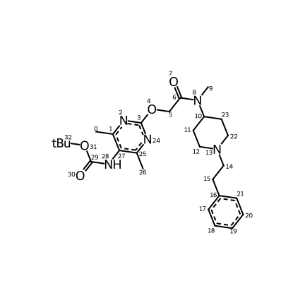 Cc1nc(OCC(=O)N(C)C2CCN(CCc3ccccc3)CC2)nc(C)c1NC(=O)OC(C)(C)C